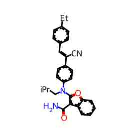 CCc1ccc(/C=C(\C#N)c2ccc(N(CC(C)C)c3oc4ccccc4c3C(N)=O)cc2)cc1